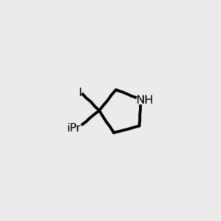 CC(C)C1(I)CCNC1